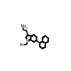 CC(C)Cn1cc(CCN)c2ccc(-c3cccc4ccccc34)cc21